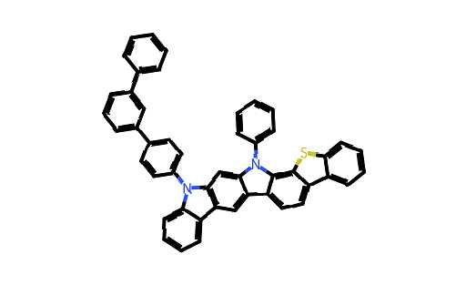 c1ccc(-c2cccc(-c3ccc(-n4c5ccccc5c5cc6c7ccc8c9ccccc9sc8c7n(-c7ccccc7)c6cc54)cc3)c2)cc1